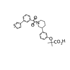 CC(C)(Oc1cccc(C2CCCN(S(=O)(=O)c3cccc(-c4ccsc4)c3)C2)c1)C(=O)O